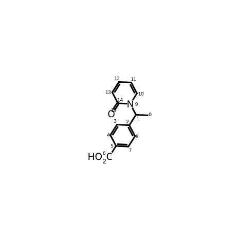 CC(c1ccc(C(=O)O)cc1)n1ccccc1=O